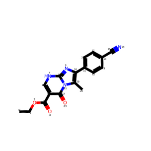 CCOC(=O)c1c[nH]c2nc(-c3ccc(C#N)cc3)c(C)n2c1=O